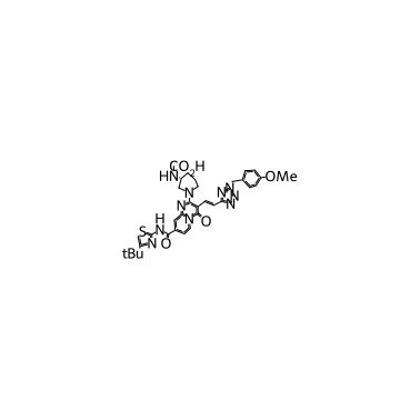 COc1ccc(Cn2nnc(C=Cc3c(N4CCC[C@@H](NC(=O)O)C4)nc4cc(C(=O)Nc5nc(C(C)(C)C)cs5)ccn4c3=O)n2)cc1